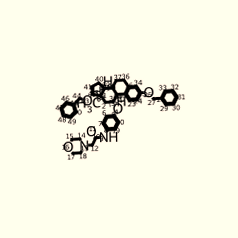 C[C@]12C[C@H](Oc3ccc(NC(=O)CN4CCOCC4)cc3)[C@@H]3c4ccc(OCc5ccccc5)cc4CC[C@H]3[C@@H]1CC[C@@H]2OCc1ccccc1